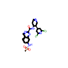 CS(=O)(=O)Nc1ccc2cnc(C(=O)Nc3ccncc3-c3cc(Cl)nc(Cl)c3)nc2c1